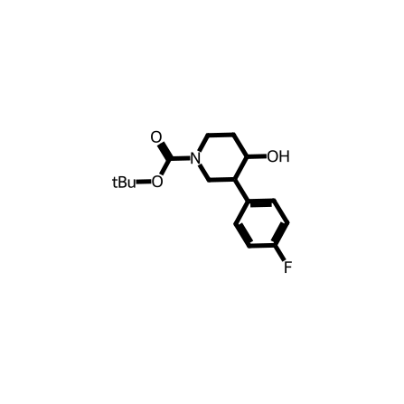 CC(C)(C)OC(=O)N1CCC(O)C(c2ccc(F)cc2)C1